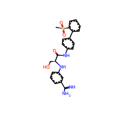 CS(=O)(=O)c1ccccc1-c1ccc(NC(=O)[C@H](CO)Nc2cccc(C(=N)N)c2)cc1